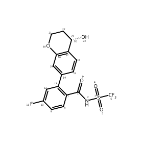 O=C(NS(=O)(=O)C(F)(F)F)c1ccc(F)cc1-c1ccc2c(c1)OCC[C@@H]2O